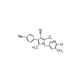 [CH2]c1cc(Cn2c(C)c(-c3ccc(C#N)cc3)c(C#N)c2C2CC2)cnc1Cl